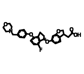 O=C(O)CC1COc2cc(O[C@@H]3CCc4c(Oc5ccc(CN6CCOCC6)cc5)ccc(F)c43)ccc21